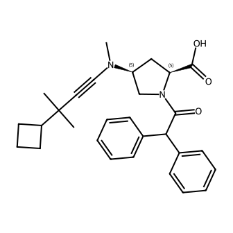 CN(C#CC(C)(C)C1CCC1)[C@H]1C[C@@H](C(=O)O)N(C(=O)C(c2ccccc2)c2ccccc2)C1